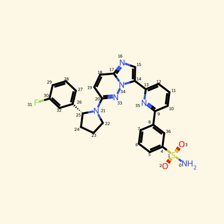 NS(=O)(=O)c1cccc(-c2cccc(-c3cnc4ccc(N5CCC[C@@H]5c5cccc(F)c5)nn34)n2)c1